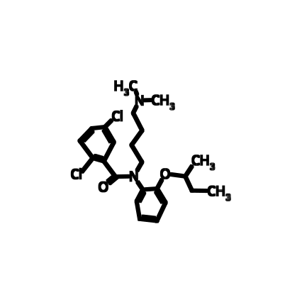 CCC(C)Oc1ccccc1N(CCCCN(C)C)C(=O)c1cc(Cl)ccc1Cl